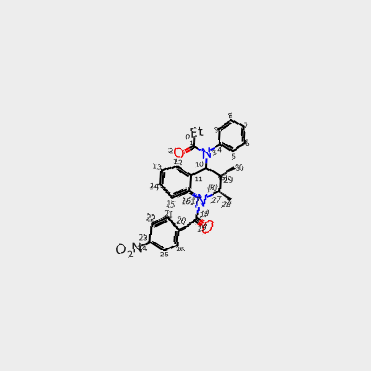 CCC(=O)N(c1ccccc1)C1c2ccccc2N(C(=O)c2ccc([N+](=O)[O-])cc2)[C@H](C)[C@@H]1C